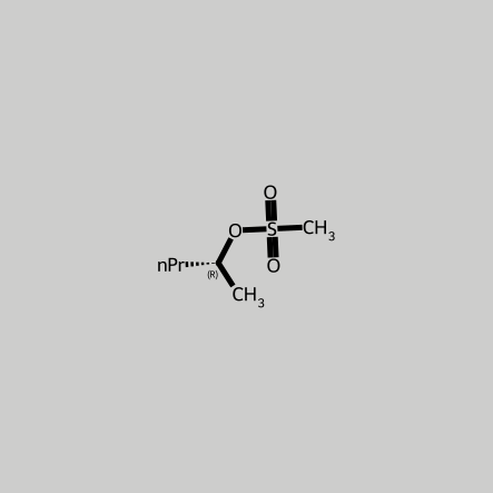 CCC[C@@H](C)OS(C)(=O)=O